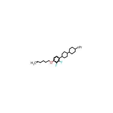 C=CCCCCOc1ccc(C2CCC(C3CCC(CCC)CC3)CC2)c(F)c1F